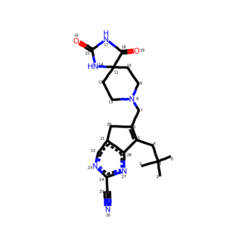 CC(C)(C)CC1=C(CN2CCC3(CC2)NC(=O)NC3=O)Cc2cnc(C#N)nc21